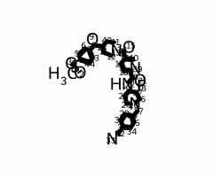 CS(=O)(=O)c1ccc(C(=O)C2CCN(C(=O)c3ccc(C(=O)N[C@@H]4CCN(Cc5ccc(C#N)cc5)C[C@H]4F)nc3)CC2)cc1